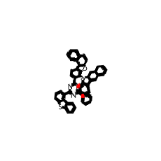 c1ccc(-c2nc(-c3ccc4c(oc5ccc6ccccc6c54)c3-n3c4ccccc4c4cc5ccccc5cc43)nc(-c3cccc4sc5ccccc5c34)n2)cc1